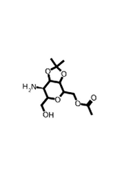 CC(=O)OCC1OC(CO)[C@@H](N)C2OC(C)(C)OC12